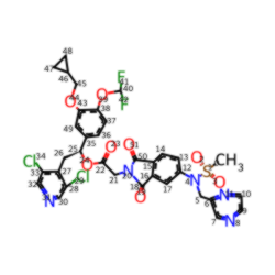 CS(=O)(=O)N(Cc1cnccn1)c1ccc2c(c1)C(=O)N(CC(=O)O[C@@H](Cc1c(Cl)cncc1Cl)c1ccc(OC(F)F)c(OCC3CC3)c1)C2=O